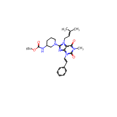 CC(C)=CCn1c(N2CCCC(NC(=O)OC(C)(C)C)C2)nc2c1c(=O)n(C)c(=O)n2/C=C/c1ccccc1